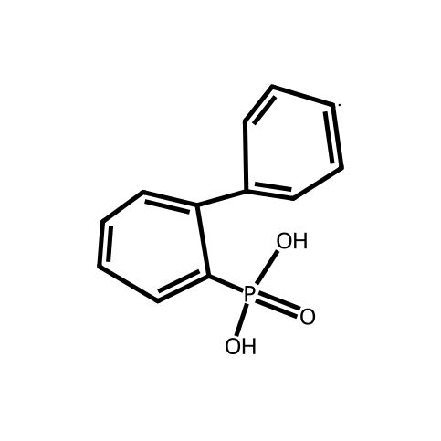 O=P(O)(O)c1ccccc1-c1cc[c]cc1